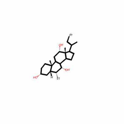 CC[C@H]1[C@@H](O)C2C3CCC(C(C)CC(C)C)[C@@]3(C)[C@@H](O)CC2[C@@]2(C)CC[C@@H](O)C[C@@H]12